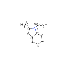 CC1CC2CCCCC2N1C(=O)O